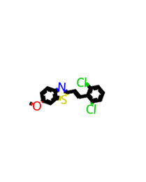 COc1ccc2nc(C=Cc3c(Cl)cccc3Cl)sc2c1